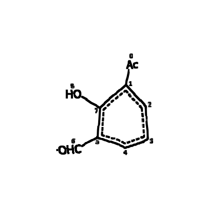 CC(=O)c1cccc([C]=O)c1O